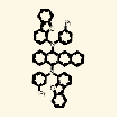 CC(C)c1cccc(N(c2c3ccccc3c(N(c3cccc(C(C)C)c3)c3cccc4c3oc3ccccc34)c3cc4ccccc4cc23)c2cccc3c2oc2ccccc23)c1